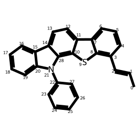 C/C=C/c1cccc2c1sc1c2ccc2c3ccccc3n(-c3ccccc3)c21